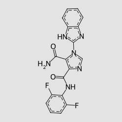 NC(=O)c1c(C(=O)Nc2c(F)cccc2F)ncn1-c1nc2ccccc2[nH]1